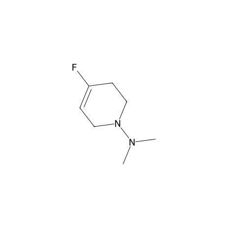 CN(C)N1CC=C(F)CC1